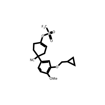 COc1ccc(C2(C#N)CC=C(OS(=O)(=O)C(F)(F)F)CC2)cc1OCC1CC1